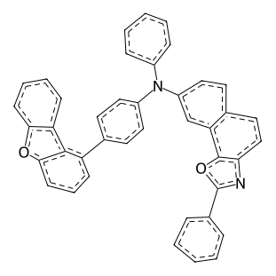 c1ccc(-c2nc3ccc4ccc(N(c5ccccc5)c5ccc(-c6cccc7oc8ccccc8c67)cc5)cc4c3o2)cc1